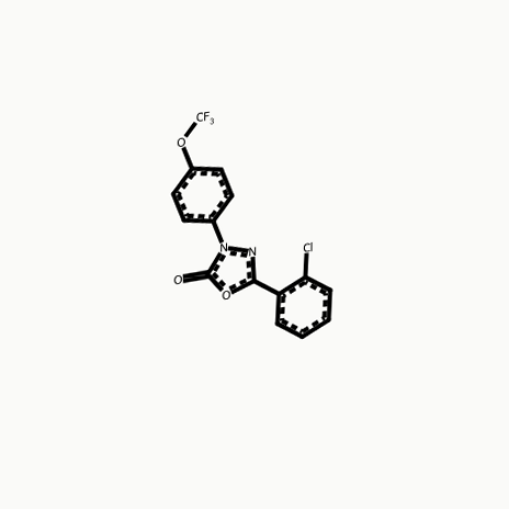 O=c1oc(-c2ccccc2Cl)nn1-c1ccc(OC(F)(F)F)cc1